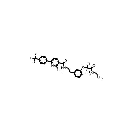 CCOC(=O)C(C)(C)Oc1cccc(CCNC(=O)c2ccc(-c3ccc(C(F)(F)F)cc3)nc2C)c1